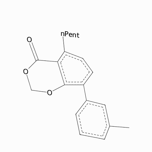 CCCCCc1ccc(-c2cccc(C)c2)c2c1C(=O)OCO2